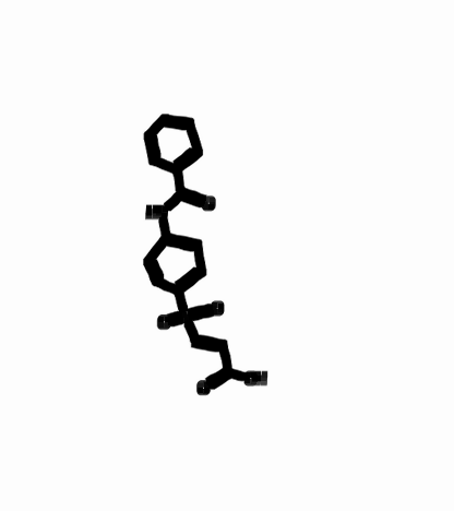 O=C(O)C=CS(=O)(=O)c1ccc(NC(=O)c2ccccc2)cc1